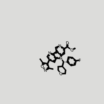 COC(=O)c1cc2c(cn1)c1ncc(-c3c(C)noc3C)cc1n2[C@H](c1ccc(F)cc1)C1CCOCC1